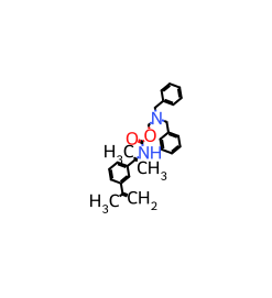 C=C(C)c1cccc(C(C)(C)NC(=O)OCN(Cc2ccccc2)Cc2ccccc2)c1